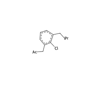 CC(=O)Cc1cccc(CC(C)C)c1Cl